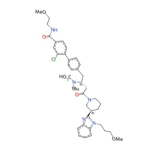 COCCCn1c([C@@H]2CCCN(C(=O)C[C@@H](Cc3ccc(-c4ccc(C(=O)NCCOC)cc4Cl)cc3)N(C(=O)O)C(C)(C)C)C2)nc2ccccc21